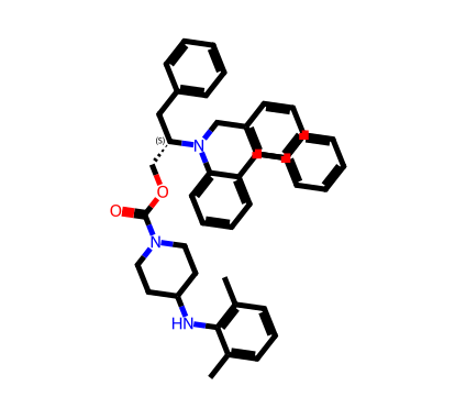 Cc1cccc(C)c1NC1CCN(C(=O)OC[C@H](Cc2ccccc2)N(Cc2ccccc2)c2ccccc2Cc2ccccc2)CC1